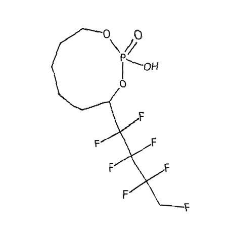 O=P1(O)OCCCCCC(C(F)(F)C(F)(F)C(F)(F)CF)O1